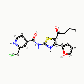 CCCC(=O)c1sc(NC(=O)c2ccnc(CCl)c2)nc1-c1ccco1